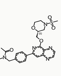 CC(=O)N(C)Cc1ccc(-c2cc3nccnc3c(OC[C@@H]3CN(S(C)(=O)=O)CCO3)n2)cc1